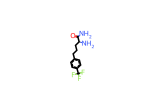 NC(=O)[C@@H](N)CCCc1ccc(C(F)(F)F)cc1